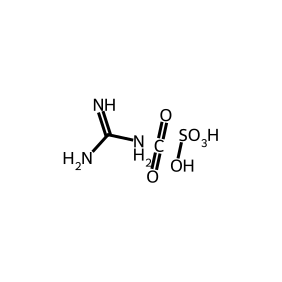 N=C(N)N.O=C=O.O=S(=O)(O)O